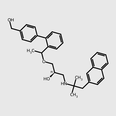 CC(OC[C@H](O)CNC(C)(C)Cc1ccc2ccccc2c1)c1ccccc1-c1ccc(CO)cc1